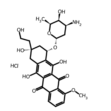 COc1cccc2c1C(=O)c1c(O)c3c(c(O)c1C2=O)C[C@@](O)(CCO)C[C@@H]3O[C@H]1C[C@H](N)[C@H](O)[C@H](C)O1.Cl